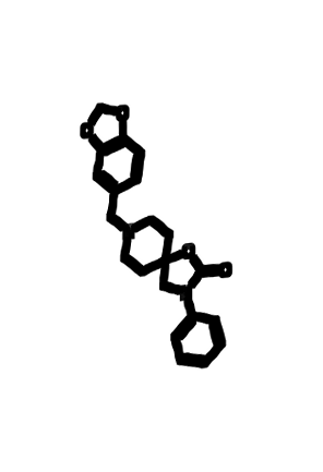 O=C1OC2(CCN(Cc3ccc4c(c3)OCO4)CC2)CN1c1ccccc1